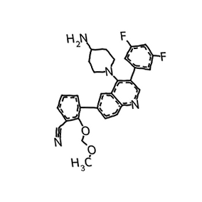 COCOc1c(C#N)cccc1-c1ccc2ncc(-c3cc(F)cc(F)c3)c(N3CCC(N)CC3)c2c1